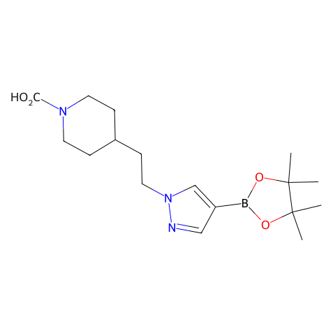 CC1(C)OB(c2cnn(CCC3CCN(C(=O)O)CC3)c2)OC1(C)C